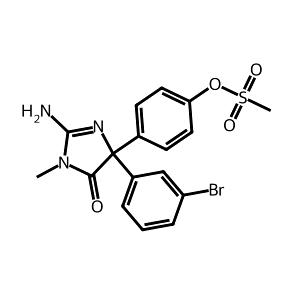 CN1C(=O)C(c2ccc(OS(C)(=O)=O)cc2)(c2cccc(Br)c2)N=C1N